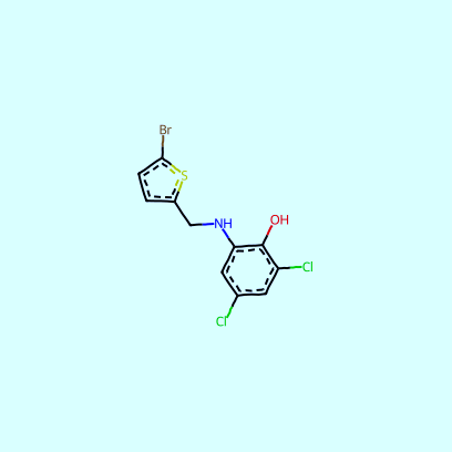 Oc1c(Cl)cc(Cl)cc1NCc1ccc(Br)s1